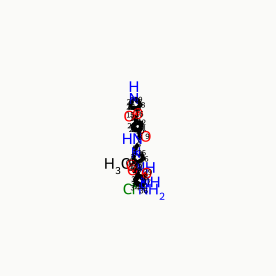 CO[C@H]1CN(CCNC(=O)c2ccc(C(=O)OC3CCNCC3)cc2)CC[C@H]1NC(=O)c1cc(Cl)c(N)[nH]c1=O